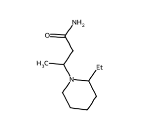 CCC1CCCCN1C(C)CC(N)=O